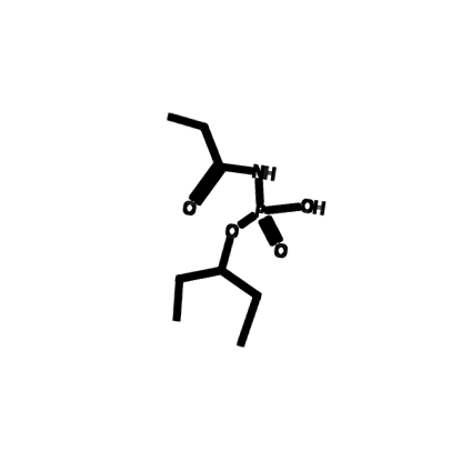 CCC(=O)NP(=O)(O)OC(CC)CC